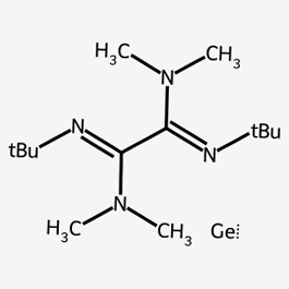 CN(C)C(=NC(C)(C)C)C(=NC(C)(C)C)N(C)C.[Ge]